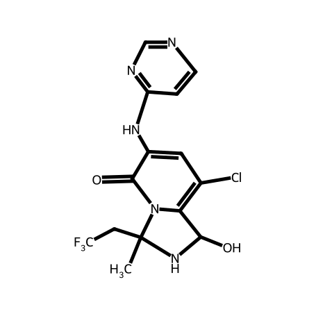 CC1(CC(F)(F)F)NC(O)c2c(Cl)cc(Nc3ccncn3)c(=O)n21